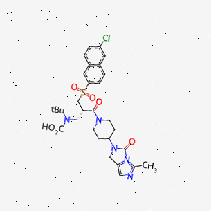 Cc1ncc2n1C(=O)N(C1CCN(C(=O)[C@H](CN(C(=O)O)C(C)(C)C)CS(=O)(=O)c3ccc4cc(Cl)ccc4c3)CC1)C2